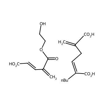 C=C(C=CC(=O)O)C(=O)OCCO.C=C(CC=C(CCCC)C(=O)O)C(=O)O